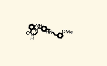 COc1cccc(CCNCc2ccc(C3Nc4cccc5c4N3CCNC5=O)cc2)c1